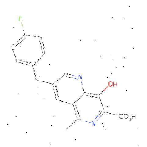 Cc1nc(C(=O)O)c(O)c2ncc(Cc3ccc(F)cc3)cc12